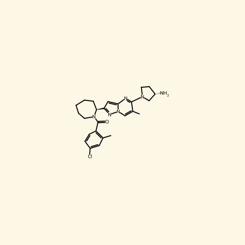 Cc1cc(Cl)ccc1C(=O)N1CCCCC[C@H]1c1cc2nc(N3CC[C@H](N)C3)c(C)cn2n1